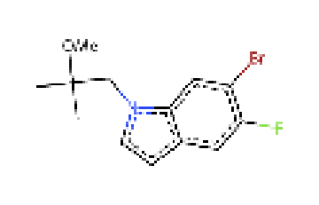 COC(C)(C)Cn1ccc2cc(F)c(Br)cc21